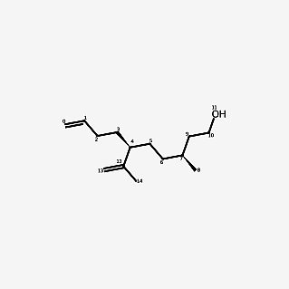 C=CCC[C@@H](CC[C@H](C)CCO)C(=C)C